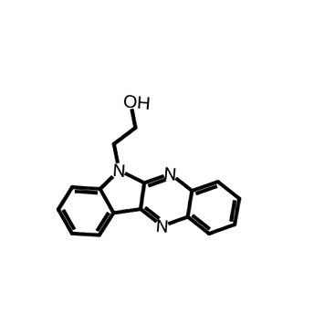 OCCn1c2ccccc2c2nc3ccccc3nc21